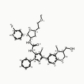 COCCN1C[C@@H](NC(=O)Nc2c(C)c(-c3cnc4c(c3)N(C)C(CO)CO4)nn2-c2ccccc2)[C@H](c2ccnc(F)c2)O1